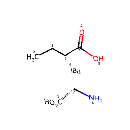 CCCC(=O)O.CC[C@H](C)[C@H](N)C(=O)O